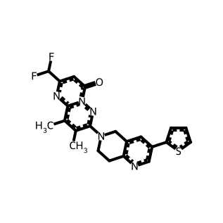 Cc1c(N2CCc3ncc(-c4cccs4)cc3C2)nn2c(=O)cc(C(F)F)nc2c1C